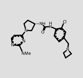 CNc1nccc(N2CC[C@H](NC(=O)Nc3ccc(CN4CCC4)cc3Cl)C2)n1